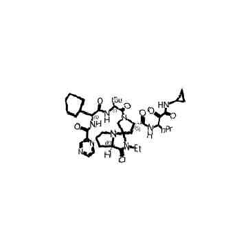 CCCC(NC(=O)[C@@H]1CC2(CN1C(=O)[C@@H](NC(=O)[C@@H](NC(=O)c1cnccn1)C1CCCCC1)C(C)(C)C)N(CC)C(=O)[C@H]1CCCN12)C(=O)C(=O)NC1CC1